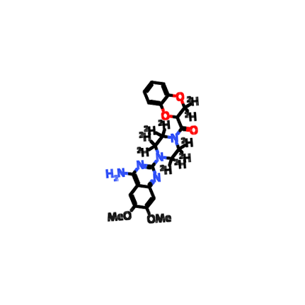 [2H]C1([2H])Oc2ccccc2OC1C(=O)N1C([2H])([2H])C([2H])([2H])N(c2nc(N)c3cc(OC)c(OC)cc3n2)C([2H])([2H])C1([2H])[2H]